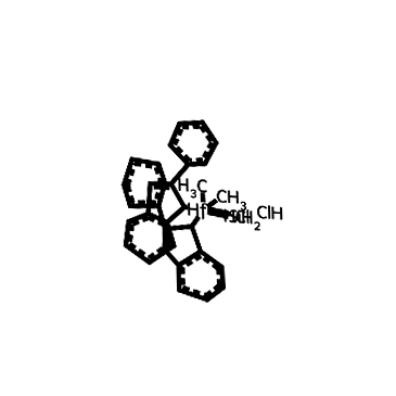 Cl.Cl.[CH3][Hf]([CH3])(=[SiH2])([CH]1C(c2ccccc2)=Cc2ccccc21)[CH]1C(c2ccccc2)=Cc2ccccc21